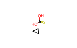 C1CC1.OC(O)=S